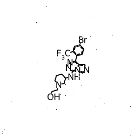 OCCN1CCCC(Nc2nnc(-c3ccc(Br)cc3C(F)(F)F)c3cncn23)C1